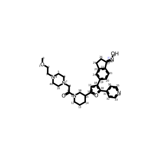 COCCN1CCN(CC(=O)N2CCCC(c3cc(-c4ccc5c(c4)CC/C5=N\O)c(-c4ccncc4)o3)C2)CC1